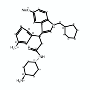 COc1ccc2c(c1)c(C(CC(=O)N[C@H]1CC[C@H](N)CC1)c1cccc(C)c1)cn2CC1CCCCC1